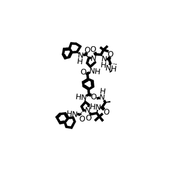 CN[C@@H](C)C(=O)N[C@H](C(=O)N1C[C@H](NC(=O)c2ccc(C(=O)N[C@@H]3C[C@@H](C(=O)N[C@@H]4CCCc5ccccc54)N(C(=O)[C@@H](NC(=O)[C@H](C)NC)C(C)(C)C)C3)cc2)C[C@H]1C(=O)N[C@@H]1CCCc2ccccc21)C(C)(C)C